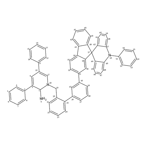 NC1C(c2ccccc2)=CC(c2ccccc2)=CN1Cc1ccccc1-c1cccc(-c2ccc3c(c2)C2(c4ccccc4-3)c3ccccc3N(c3ccccc3)c3ccccc32)c1